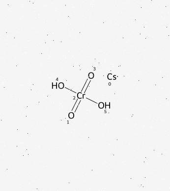 [Cs].[O]=[Cr](=[O])([OH])[OH]